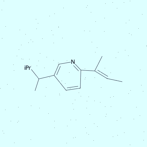 C/C=C(\C)c1ccc(C(C)C(C)C)cn1